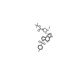 CC[C@H]1CN(C(=O)OC(C)(C)C)C[C@H]1c1nnc2cnc3c(ccn3S(=O)(=O)c3ccc(C)cc3)n12